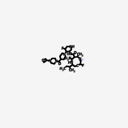 CCC(C)C1CCC(F)/C=N\C(C)C(C(=O)NC2CNCC(F)C2N2CCC(C(=O)N3CCN(C4COC4)CC3)CC2)C(N)N1